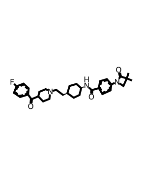 CC1(C)CN(c2ccc(C(=O)N[C@H]3CC[C@H](CCN4CCC(C(=O)c5ccc(F)cc5)CC4)CC3)cc2)C1=O